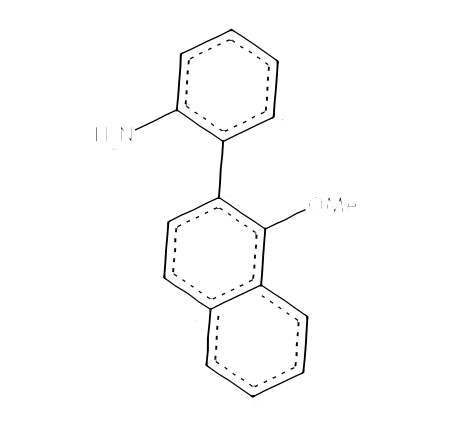 COc1c(-c2ccccc2N)ccc2ccccc12